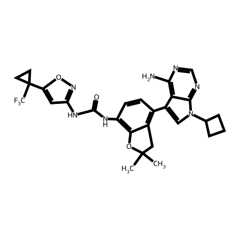 CC1(C)Cc2c(-c3cn(C4CCC4)c4ncnc(N)c34)ccc(NC(=O)Nc3cc(C4(C(F)(F)F)CC4)on3)c2O1